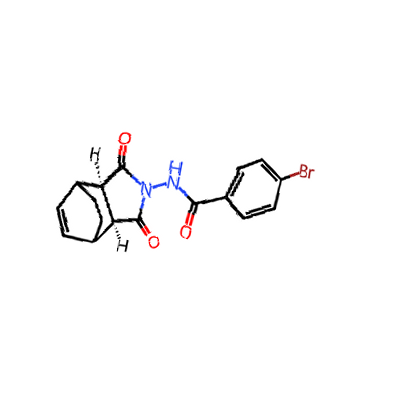 O=C(NN1C(=O)[C@@H]2C3C=CC(CC3)[C@@H]2C1=O)c1ccc(Br)cc1